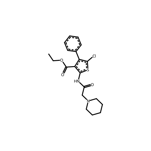 CCOC(=O)c1c(NC(=O)CN2CCCCC2)sc(Cl)c1-c1ccccc1